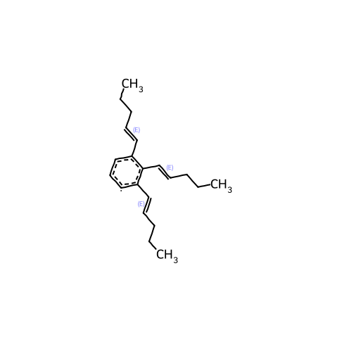 CCC/C=C/c1[c]ccc(/C=C/CCC)c1/C=C/CCC